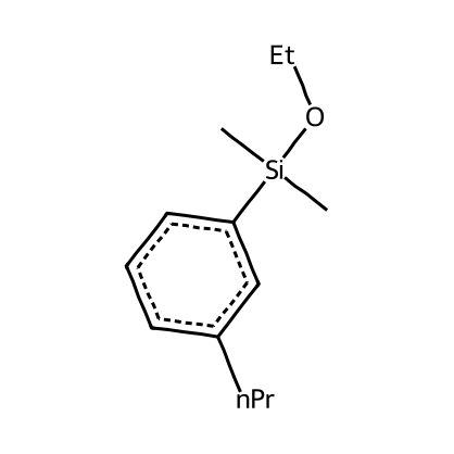 CCCc1cccc([Si](C)(C)OCC)c1